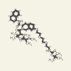 CNC(C)C(=O)NC(C(=O)N1Cc2cc(OCCOCCOCCNC(=O)OC(C)(C)C)ccc2C[C@H]1C(=O)N[C@@H]1CCCc2ccccc21)C(C)(C)C